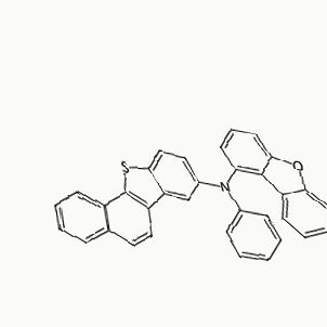 c1ccc(N(c2ccc3sc4c5ccccc5ccc4c3c2)c2cccc3oc4ccccc4c23)cc1